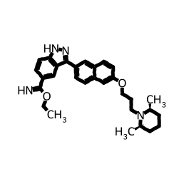 CCOC(=N)c1ccc2[nH]nc(-c3ccc4cc(OCCCN5[C@H](C)CCC[C@@H]5C)ccc4c3)c2c1